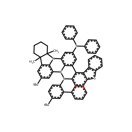 CC(C)(C)c1ccc(N2B3c4cc(C(C)(C)C)cc5c4N(c4cc(N(c6ccccc6)c6ccccc6)cc(c43)-c3c2ccc2sc4ccccc4c32)C2(C)CCCCC52C)c(-c2ccccc2)c1